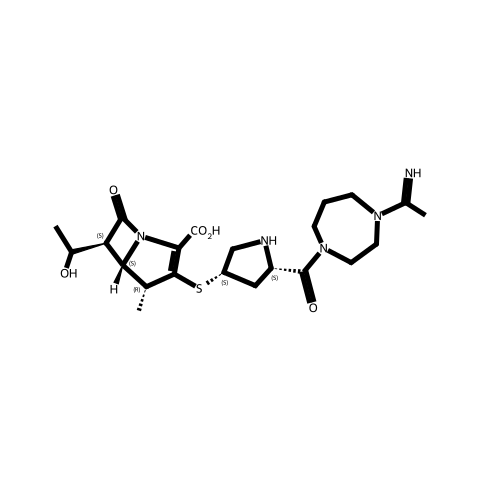 CC(=N)N1CCCN(C(=O)[C@@H]2C[C@H](SC3=C(C(=O)O)N4C(=O)[C@H](C(C)O)[C@H]4[C@H]3C)CN2)CC1